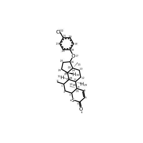 CC1CC2SC(=O)C=C[C@]2(C)[C@@H]2CC[C@]3(C)C(Oc4ccc(Cl)cc4)CC[C@H]3[C@H]12